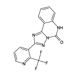 O=c1[nH]c2ccccc2c2nc(-c3cccnc3C(F)(F)F)nn12